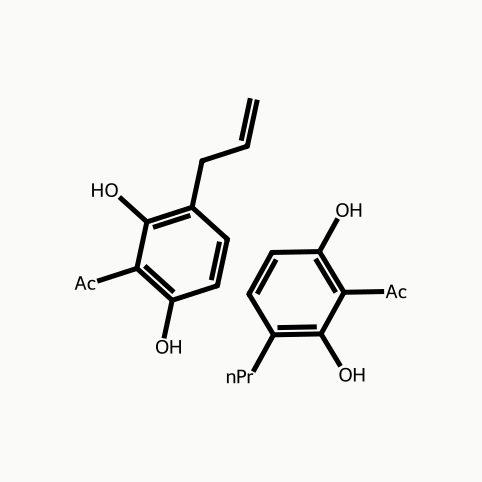 C=CCc1ccc(O)c(C(C)=O)c1O.CCCc1ccc(O)c(C(C)=O)c1O